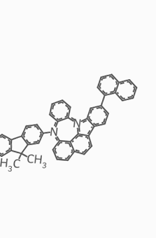 CC1(C)c2ccccc2-c2ccc(-n3c4cccc5ccc6c7ccc(-c8cccc9ccccc89)cc7n(c7ccccc73)c6c54)cc21